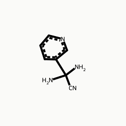 N#CC(N)(N)c1cccnc1